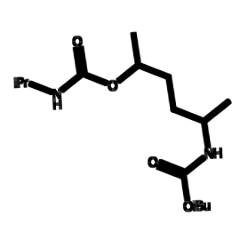 CC(C)COC(=O)NC(C)CCC(C)OC(=O)NC(C)C